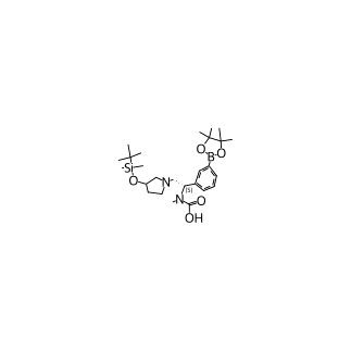 CN(C(=O)O)[C@H](CN1CCC(O[Si](C)(C)C(C)(C)C)C1)c1cccc(B2OC(C)(C)C(C)(C)O2)c1